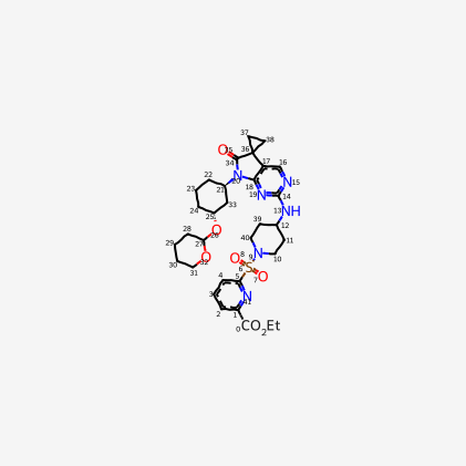 CCOC(=O)c1cccc(S(=O)(=O)N2CCC(Nc3ncc4c(n3)N([C@@H]3CCC[C@@H](OC5CCCCO5)C3)C(=O)C43CC3)CC2)n1